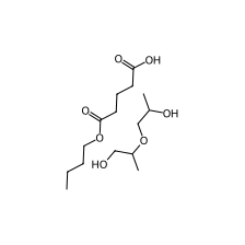 CC(O)COC(C)CO.CCCCOC(=O)CCCC(=O)O